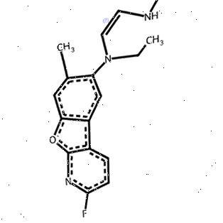 CCN(/C=C\NC)c1cc2c(cc1C)oc1nc(F)ccc12